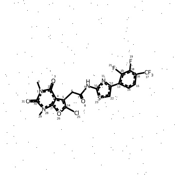 Cn1c(=O)c2c(CC(=O)Nc3nc(-c4ccc(C(F)(F)F)c(F)c4F)cs3)c(Cl)oc2n(C)c1=O